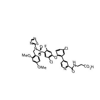 COc1ccc(CN(c2ncns2)S(=O)(=O)c2cc(Cl)c(Oc3ccc(Cl)cc3-c3ccnc(C(=O)NCCC(=O)O)c3)cc2F)c(OC)c1